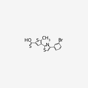 Cc1sc(C(O)=S)cc1-c1nc(-c2cccc(Br)c2)cs1